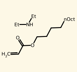 C=CC(=O)OCCCCCCCCCCCC.CCNCC